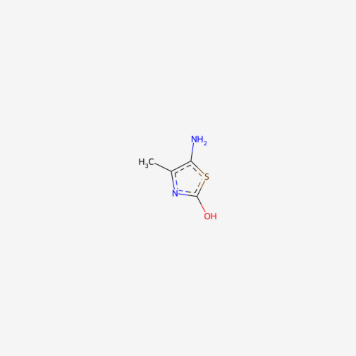 Cc1nc(O)sc1N